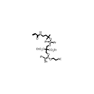 [C-]#[N+]CCOP(OCC(CO[Si](OC(C)(C)CCNC(=O)C=C)(C(C)C)C(C)C)(C(=O)OCC)C(=O)OCC)N(C(C)C)C(C)C